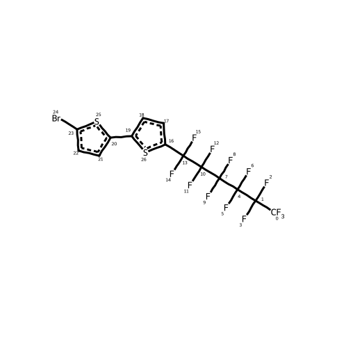 FC(F)(F)C(F)(F)C(F)(F)C(F)(F)C(F)(F)C(F)(F)c1ccc(-c2ccc(Br)s2)s1